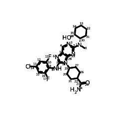 CN(c1ncc2nc(Nc3c(F)cc(Cl)cc3F)n(C3CCC(C(N)=O)CC3)c2n1)[C@H]1CCCC[C@H]1O